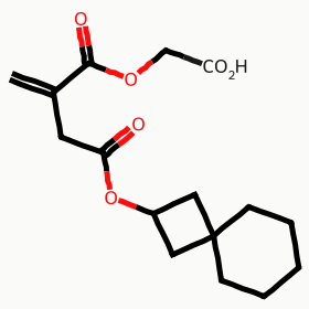 C=C(CC(=O)OC1CC2(CCCCC2)C1)C(=O)OCC(=O)O